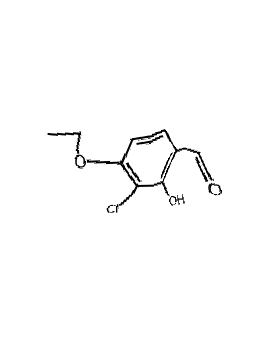 CCOc1ccc(C=O)c(O)c1Cl